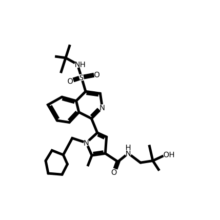 Cc1c(C(=O)NCC(C)(C)O)cc(-c2ncc(S(=O)(=O)NC(C)(C)C)c3ccccc23)n1CC1CCCCC1